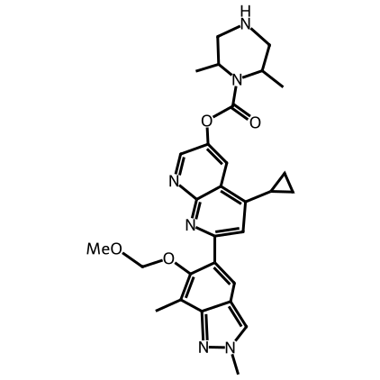 COCOc1c(-c2cc(C3CC3)c3cc(OC(=O)N4C(C)CNCC4C)cnc3n2)cc2cn(C)nc2c1C